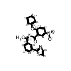 CC(NC(=O)c1cc([N+](=O)[O-])ccc1Oc1ccccc1)c1cccc(-c2nccs2)c1